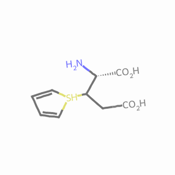 N[C@H](C(=O)O)C(CC(=O)O)[SH]1C=CC=C1